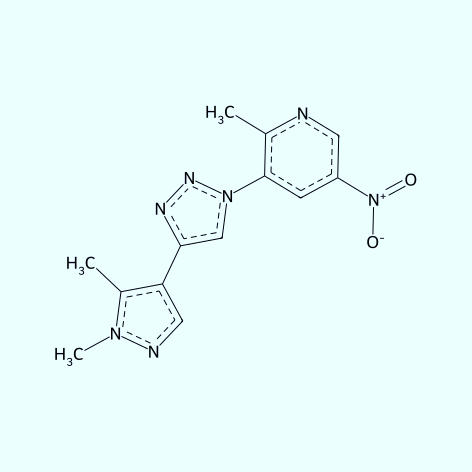 Cc1ncc([N+](=O)[O-])cc1-n1cc(-c2cnn(C)c2C)nn1